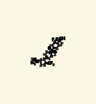 C[C@@H]1CN(c2cc(-n3cncn3)ccc2C(F)(F)F)CCN1S(=O)(=O)c1ccc(C(C)(O)C(F)(F)F)cc1